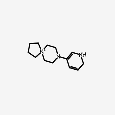 C1=CC(N2CC[N+]3(CCCC3)CC2)=CNC1